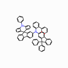 c1ccc(-c2ccccc2N(c2ccc3c(c2)C(c2ccccc2)(c2ccccc2)c2ccccc2-3)c2ccc3c(c2)C2(c4ccccc4-3)c3ccccc3N(c3ccccc3)c3ccccc32)cc1